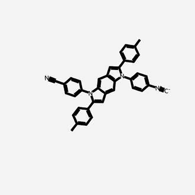 [C-]#[N+]c1ccc(-n2c(-c3ccc(C)cc3)cc3cc4c(cc(-c5ccc(C)cc5)n4-c4ccc(C#N)cc4)cc32)cc1